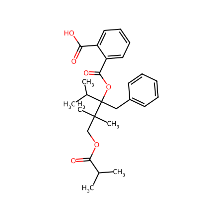 CC(C)C(=O)OCC(C)(C)C(Cc1ccccc1)(OC(=O)c1ccccc1C(=O)O)C(C)C